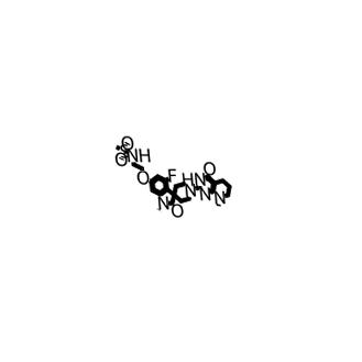 CN1CCCc2c1nc(N1CCC3(CC1)C(=O)N(C)c1cc(OCCNS(C)(=O)=O)cc(F)c13)[nH]c2=O